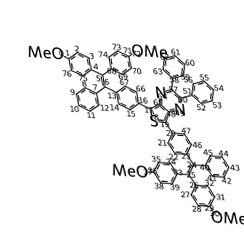 COc1ccc(C(=C(c2ccccc2)c2ccc(-c3sc(-c4ccc(C(=C(c5ccc(OC)cc5)c5ccc(OC)cc5)c5ccccc5)cc4)c4nc(-c5ccccc5)c(-c5ccccc5)nc34)cc2)c2ccc(OC)cc2)cc1